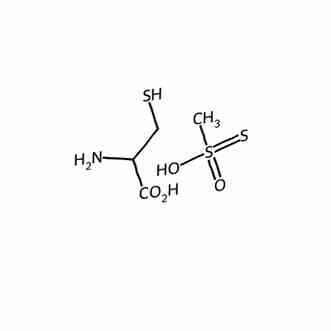 CS(=O)(O)=S.NC(CS)C(=O)O